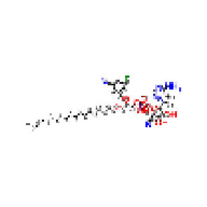 CCCCCCCCCCCCCCCCCOC[C@H](COP(=O)(O)OC[C@@]1(C#N)O[C@@H](c2ccc3c(N)ncnn23)[C@H](O)[C@@H]1O)OCc1cc(F)cc(C#N)c1